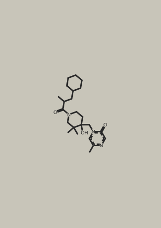 Cc1cn(CC2(O)CCN(C(=O)C(C)CC3CCCCC3)CC2(C)C)c(=O)cn1